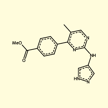 COC(=O)c1ccc(-c2nc(Nc3cn[nH]c3)ncc2C)cc1